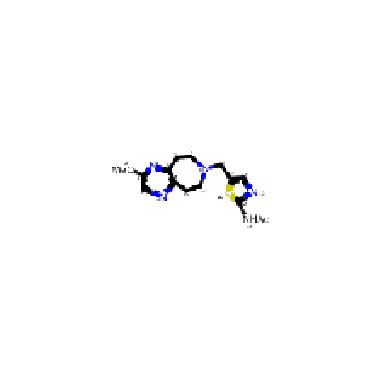 COc1cnc2c(n1)CCN(Cc1cnc(NC(C)=O)s1)CC2